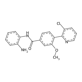 COc1cc(C(=O)Nc2ccccc2N)ccc1-c1ncccc1Cl